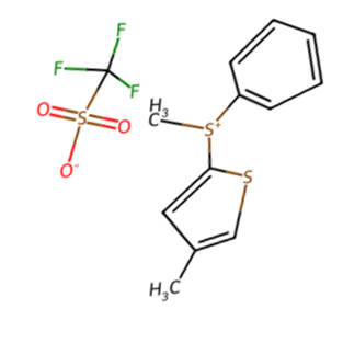 Cc1csc([S+](C)c2ccccc2)c1.O=S(=O)([O-])C(F)(F)F